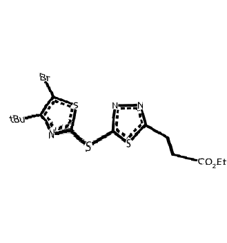 CCOC(=O)CCc1nnc(Sc2nc(C(C)(C)C)c(Br)s2)s1